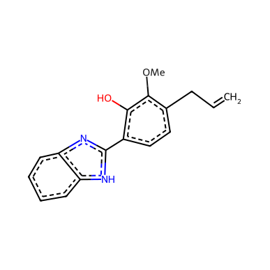 C=CCc1ccc(-c2nc3ccccc3[nH]2)c(O)c1OC